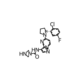 O=C(Nc1cnn2ccc(N3CCC[C@@H]3c3cc(F)ccc3Cl)nc12)N1CNC1